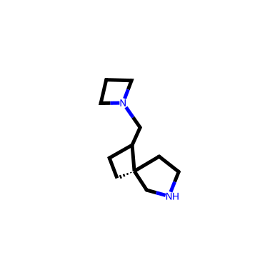 C1CN(CC2CC[C@@]23CCNC3)C1